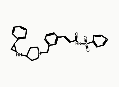 O=C(C=Cc1cccc(CN2CCC(N[C@@H]3C[C@H]3c3ccccc3)CC2)c1)NS(=O)(=O)c1ccccc1